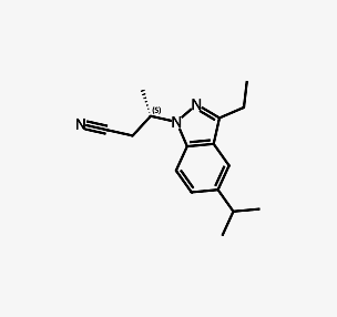 CCc1nn([C@@H](C)CC#N)c2ccc(C(C)C)cc12